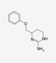 NC1=NC(COc2ccccc2)CCN1